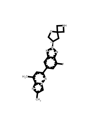 Cc1cn2nc(-c3cc(F)c4nn([C@H]5COC6(CNC6)C5)nc4c3)cc(C)c2n1